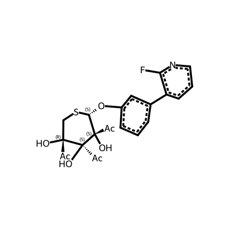 CC(=O)[C@]1(O)[C@@](O)(C(C)=O)CS[C@H](Oc2cccc(-c3cccnc3F)c2)[C@@]1(O)C(C)=O